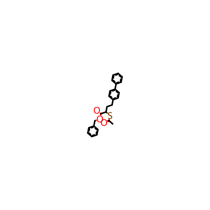 CC(=O)SC(CCc1ccc(-c2ccccc2)cc1)C(=O)OCc1ccccc1